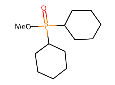 COP(=O)(C1CCCCC1)C1CCCCC1